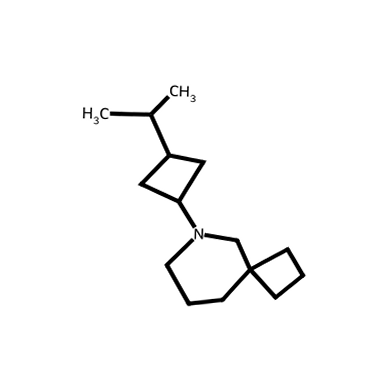 CC(C)C1CC(N2CCCC3(CCC3)C2)C1